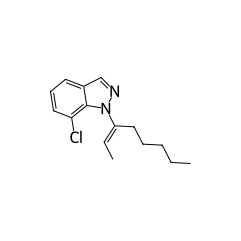 CC=C(CCCCC)n1ncc2cccc(Cl)c21